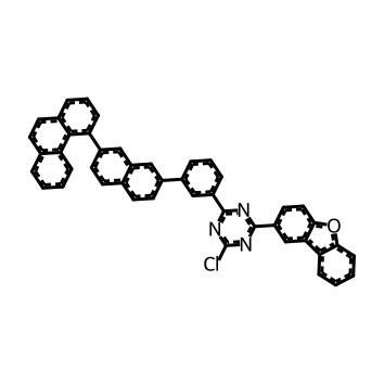 Clc1nc(-c2cccc(-c3ccc4ccc(-c5cccc6ccc7ccccc7c56)cc4c3)c2)nc(-c2ccc3oc4ccccc4c3c2)n1